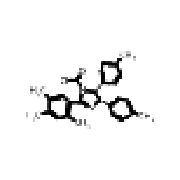 Cc1ccc([C@H]2N=C(c3cc(C)c(C)cc3C)N(C(=O)Cl)[C@H]2c2ccc(C)cc2)cc1